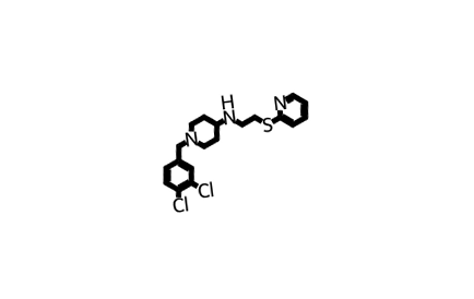 Clc1ccc(CN2CCC(NCCSc3ccccn3)CC2)cc1Cl